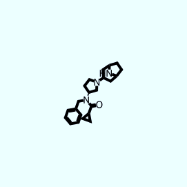 O=C(C1CC1)N(Cc1ccccc1)[C@@H]1CCN(C2CC3CCC(C2)N3)C1